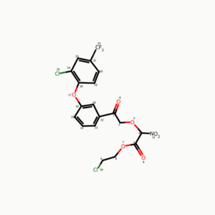 O=C(COC(C(=O)OCCCl)[N+](=O)[O-])c1cccc(Oc2ccc(C(F)(F)F)cc2Cl)c1